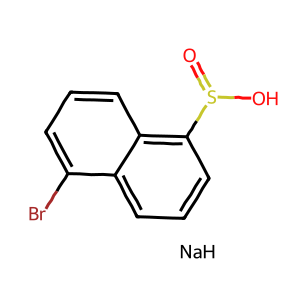 O=S(O)c1cccc2c(Br)cccc12.[NaH]